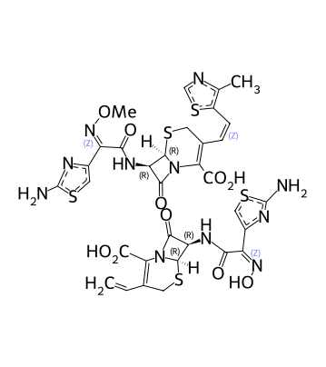 C=CC1=C(C(=O)O)N2C(=O)[C@@H](NC(=O)/C(=N\O)c3csc(N)n3)[C@H]2SC1.CO/N=C(\C(=O)N[C@@H]1C(=O)N2C(C(=O)O)=C(/C=C\c3scnc3C)CS[C@H]12)c1csc(N)n1